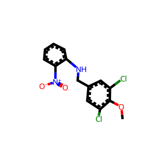 COc1c(Cl)cc(CNc2ccccc2[N+](=O)[O-])cc1Cl